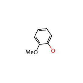 COc1ccccc1[O]